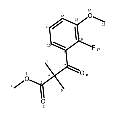 COC(=O)C(C)(C)C(=O)c1cccc(OC)c1F